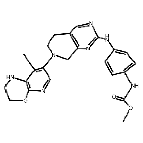 COC(=O)Nc1ccc(Nc2ncc3c(n2)CN(c2cnc4c(c2C)NCCO4)CC3)cc1